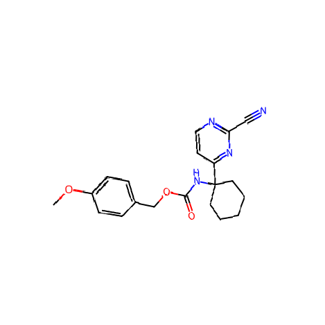 COc1ccc(COC(=O)NC2(c3ccnc(C#N)n3)CCCCC2)cc1